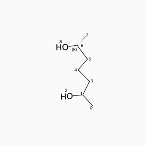 CC(O)CCC[C@@H](C)O